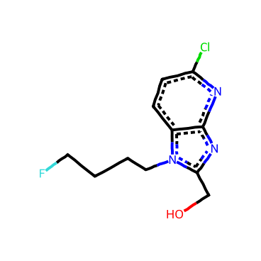 OCc1nc2nc(Cl)ccc2n1CCCCF